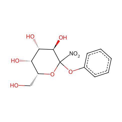 O=[N+]([O-])C1(Oc2ccccc2)O[C@H](CO)[C@H](O)[C@H](O)[C@H]1O